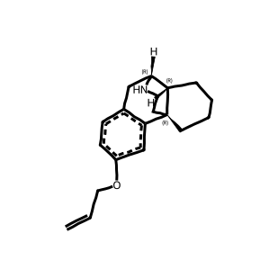 C=CCOc1ccc2c(c1)[C@@]13CCCC[C@H]1[C@@H](C2)NCC3